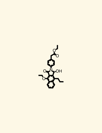 CCCc1c2c(c(OCC)c3ccccc13)C(=O)N(c1ccc(CC(=O)OCC)cc1)[C@H]2O